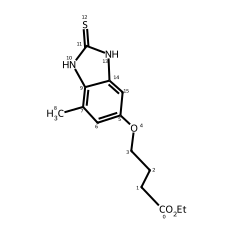 CCOC(=O)CCCOc1cc(C)c2[nH]c(=S)[nH]c2c1